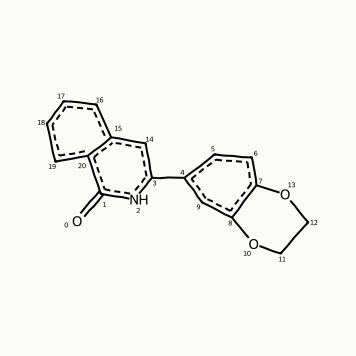 O=c1[nH]c(-c2ccc3c(c2)OCCO3)cc2ccccc12